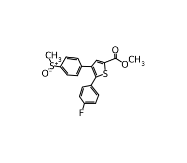 COC(=O)c1cc(-c2ccc([S+](C)[O-])cc2)c(-c2ccc(F)cc2)s1